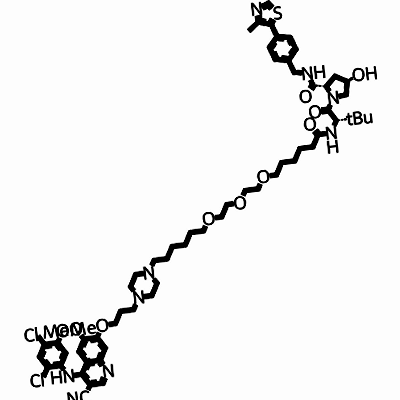 COc1cc(Nc2c(C#N)cnc3cc(OCCCN4CCN(CCCCCCOCCOCCOCCCCCC(=O)N[C@H](C(=O)N5C[C@H](O)C[C@H]5C(=O)NCc5ccc(-c6scnc6C)cc5)C(C)(C)C)CC4)c(OC)cc23)c(Cl)cc1Cl